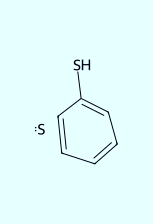 Sc1ccccc1.[S]